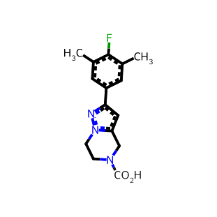 Cc1cc(-c2cc3n(n2)CCN(C(=O)O)C3)cc(C)c1F